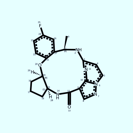 C[C@H]1Nc2ccn3ncc(c3n2)C(=O)N[C@H]2CCC[C@H]2Oc2ccc(F)cc21